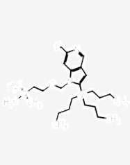 CCC[CH2][Sn]([CH2]CCC)([CH2]CCC)[c]1cc2cnc(Cl)cc2n1COCC[Si](C)(C)C